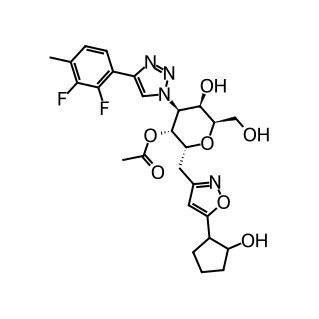 CC(=O)O[C@@H]1[C@@H](n2cc(-c3ccc(C)c(F)c3F)nn2)[C@@H](O)[C@@H](CO)O[C@@H]1Cc1cc(C2CCCC2O)on1